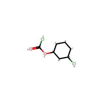 O=C(Cl)OC1CCCC(Cl)C1